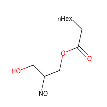 CCCCCCCC(=O)OCC(CO)N=O